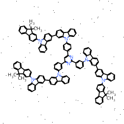 CC1(C)c2ccccc2-c2ccc(-n3c4ccccc4c4cc(-c5ccc6c7ccccc7n(-c7ccc(-c8cc(-c9cccc(-n%10c%11ccccc%11c%11ccc(-c%12ccc%13c(c%12)c%12ccccc%12n%13-c%12ccc%13c(c%12)C(C)(C)c%12ccccc%12-%13)cc%11%10)c9)nc(-c9cccc(-n%10c%11ccccc%11c%11ccc(-c%12ccc%13c(c%12)c%12ccccc%12n%13-c%12ccc%13c(c%12)C(C)(C)c%12ccccc%12-%13)cc%11%10)c9)n8)cc7)c6c5)ccc43)cc21